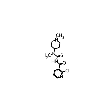 CN1CCC(N(C)C(=S)NC(=O)c2cccnc2Cl)CC1